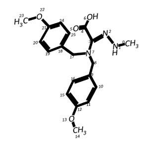 CN/N=C(/C(=O)O)N(Cc1ccc(OC)cc1)Cc1ccc(OC)cc1